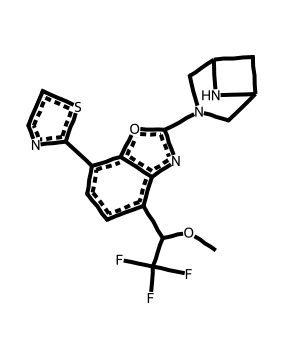 COC(c1ccc(-c2nccs2)c2oc(N3CC4CC(C3)N4)nc12)C(F)(F)F